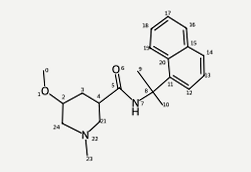 COC1CC(C(=O)NC(C)(C)c2cccc3ccccc23)CN(C)C1